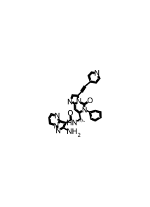 C[C@H](NC(=O)c1c(N)nn2cccnc12)c1cc2ncc(C#Cc3ccncc3)n2c(=O)n1-c1ccccc1